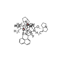 C=C1CCN2CCC[C@]12COc1nc2c3c(nc(-c4cccc5cccc(C#C[Si](C(C)C)(C(C)C)C(C)C)c45)c(F)c3n1)OC(C)C1C3CCC(CN21)N3C(=O)O